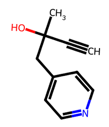 C#CC(C)(O)Cc1ccncc1